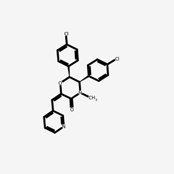 CN1C(=O)/C(=C\c2cccnc2)O[C@@H](c2ccc(Cl)cc2)[C@H]1c1ccc(Cl)cc1